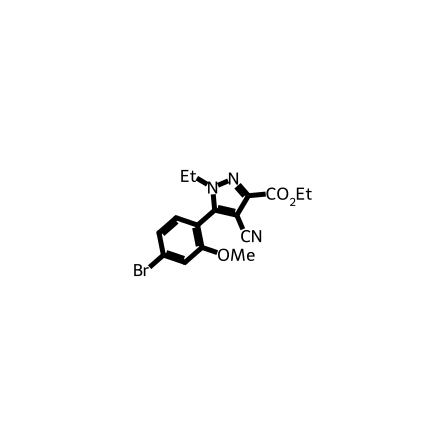 CCOC(=O)c1nn(CC)c(-c2ccc(Br)cc2OC)c1C#N